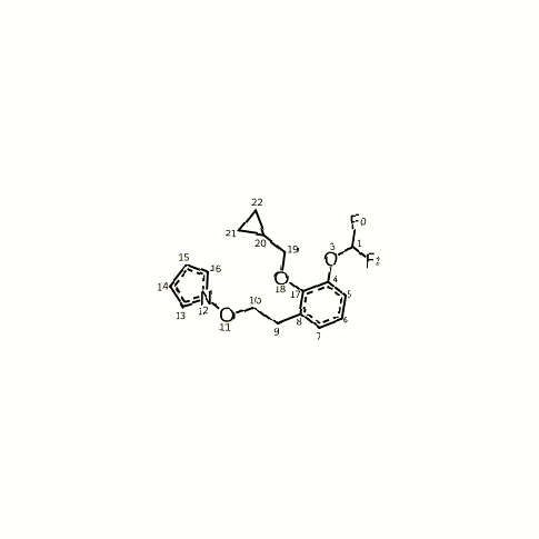 FC(F)Oc1cccc(CCOn2cccc2)c1OCC1CC1